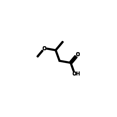 COC(C)CC(=O)O